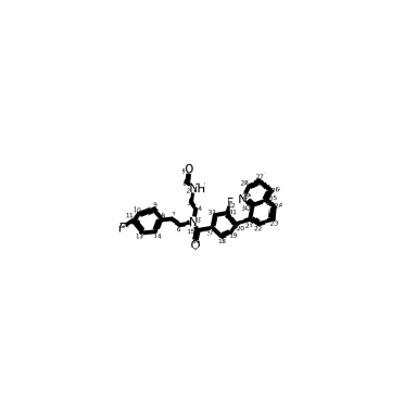 O=CNCCN(CCc1ccc(F)cc1)C(=O)c1ccc(-c2cccc3cccnc23)c(F)c1